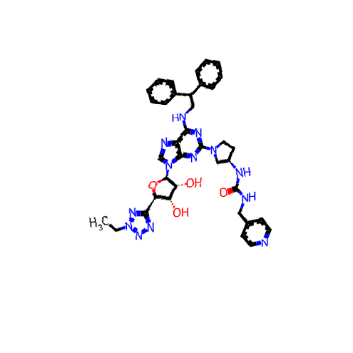 CCn1nnc([C@H]2O[C@@H](n3cnc4c(NCC(c5ccccc5)c5ccccc5)nc(N5CC[C@@H](NC(=O)NCc6ccncc6)C5)nc43)[C@H](O)[C@@H]2O)n1